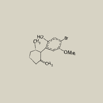 C=C1CCCC(C)C1c1cc(OC)c(Br)cc1O